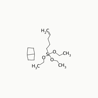 C1CC2CCC12.C=CCCC[Si](OCC)(OCC)OCC